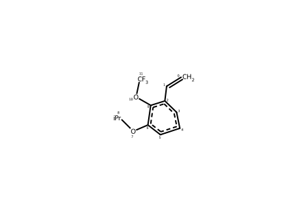 C=Cc1cccc(OC(C)C)c1OC(F)(F)F